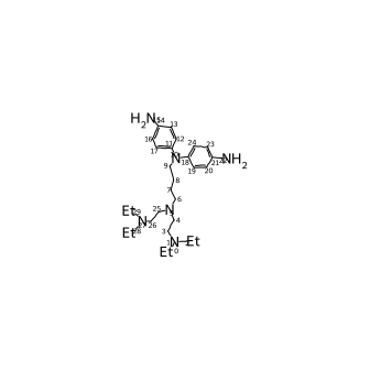 CCN(CC)CCN(CCCCN(c1ccc(N)cc1)c1ccc(N)cc1)CCN(CC)CC